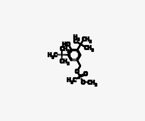 COP(C)(=O)OCc1cc(C(C)(C)C)c(O)c(C(C)(C)C)c1